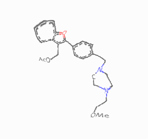 COCCN1CCN(Cc2ccc(-c3oc4ccccc4c3COC(C)=O)cc2)CC1